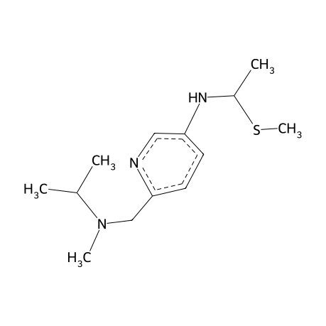 CSC(C)Nc1ccc(CN(C)C(C)C)nc1